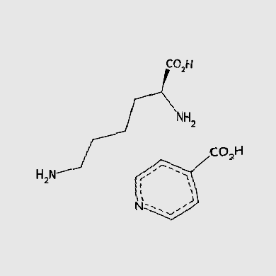 NCCCC[C@H](N)C(=O)O.O=C(O)c1ccncc1